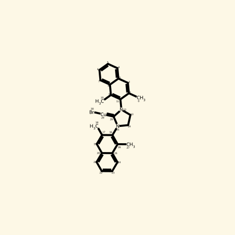 Cc1cc2ccccc2c(C)c1N1CCN(c2c(C)cc3ccccc3c2C)[C]1=[Cu][Br]